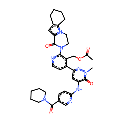 CC(=O)OCc1c(-c2cc(Nc3ccc(C(=O)N4CCCCC4)cn3)c(=O)n(C)n2)ccnc1N1CCn2c(cc3c2CCCC3)C1=O